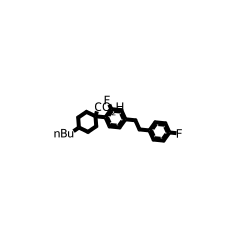 CCCCC1CCC(C(=O)O)(c2ccc(CCc3ccc(F)cc3)cc2F)CC1